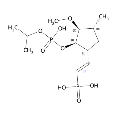 CO[C@@H]1[C@H](OP(=O)(O)OC(C)C)[C@@H](/C=C/P(=O)(O)O)C[C@H]1C